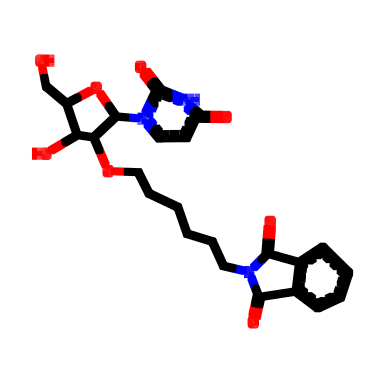 O=C1c2ccccc2C(=O)N1CCCCCCOC1C(O)C(CO)OC1n1ccc(=O)[nH]c1=O